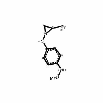 CONc1ccc(SN2CC2C(C)C)cc1